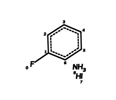 Fc1ccccc1.I.N